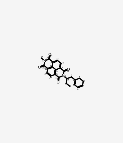 CCC(CC1=CC=CCC1)N1C(=O)c2ccc3c4c(ccc(c24)C1=O)C(=O)N(C)C3=O